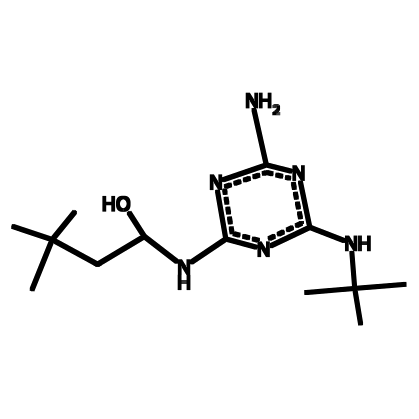 CC(C)(C)CC(O)Nc1nc(N)nc(NC(C)(C)C)n1